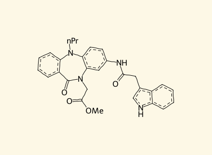 CCCN1c2ccccc2C(=O)N(CC(=O)OC)c2cc(NC(=O)Cc3c[nH]c4ccccc34)ccc21